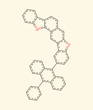 c1ccc(-c2c3ccccc3c(-c3ccc4oc5cc6ccc7c8ccccc8oc7c6cc5c4c3)c3ccccc23)cc1